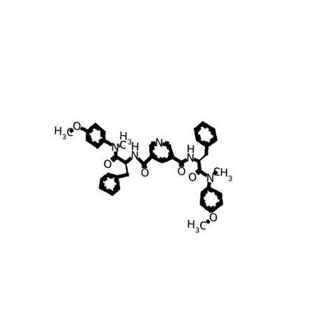 COc1ccc(N(C)C(=O)[C@H](Cc2ccccc2)NC(=O)c2cncc(C(=O)N[C@@H](Cc3ccccc3)C(=O)N(C)c3ccc(OC)cc3)c2)cc1